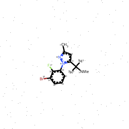 [2H]C([2H])(NC)c1cc(C)nn1-c1cccc(Br)c1F